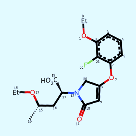 CCOc1cccc(OC2=CC(=O)N([C@@H](C[C@H](C)OCC)C(=O)O)C2)c1F